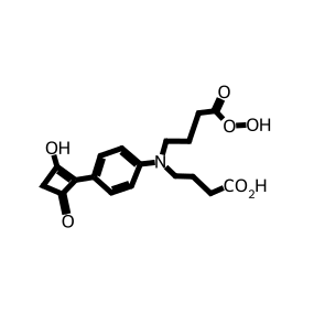 O=C(O)CCCN(CCCC(=O)OO)c1ccc(C2=C(O)CC2=O)cc1